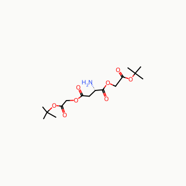 CC(C)(C)OC(=O)COC(=O)C[C@H](N)C(=O)OCC(=O)OC(C)(C)C